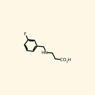 O=C(O)CCNCc1cccc(F)c1